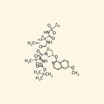 C=C[C@@H]1CC1(NC(=O)[C@@H]1CC(Oc2nccc3cc(OC)ccc23)CN1C(=O)[C@@H](NC(=O)OC(C)(C)C)C(C)(C)C)C(=O)NS(=O)(=O)C1CC1